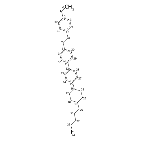 CCc1ccc(CCc2ccc(-c3ccc(C4CCC(CCCCF)CC4)cc3)cc2)cc1